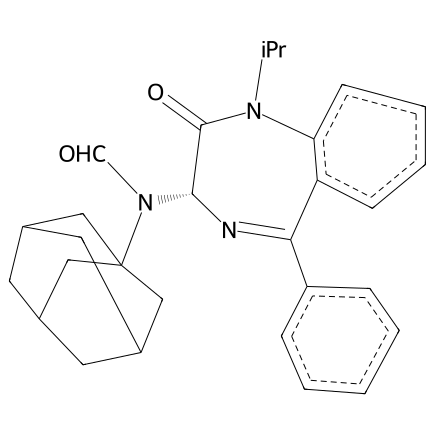 CC(C)N1C(=O)[C@@H](N(C=O)C23CC4CC(CC(C4)C2)C3)N=C(c2ccccc2)c2ccccc21